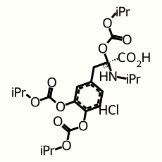 CC(C)N[C@@](Cc1ccc(OC(=O)OC(C)C)c(OC(=O)OC(C)C)c1)(OC(=O)OC(C)C)C(=O)O.Cl